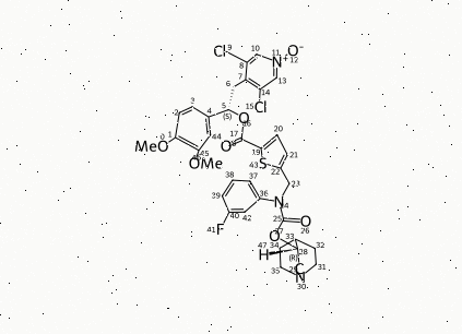 COc1ccc([C@H](Cc2c(Cl)c[n+]([O-])cc2Cl)OC(=O)c2ccc(CN(C(=O)O[C@H]3CN4CCC3CC4)c3cccc(F)c3)s2)cc1OC